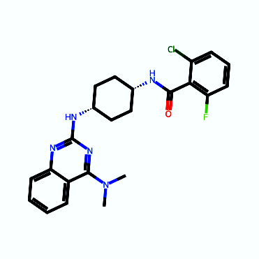 CN(C)c1nc(N[C@H]2CC[C@@H](NC(=O)c3c(F)cccc3Cl)CC2)nc2ccccc12